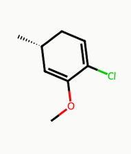 COC1=C[C@H](C)CC=C1Cl